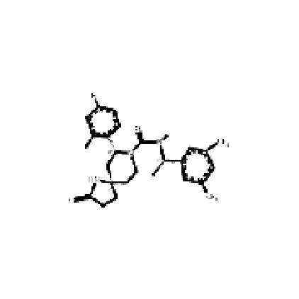 Cc1cc(F)ccc1[C@H]1C[C@]2(CCC(=O)N2)CCN1C(=O)N(C)[C@H](C)c1cc(C(F)(F)F)cc(C(F)(F)F)c1